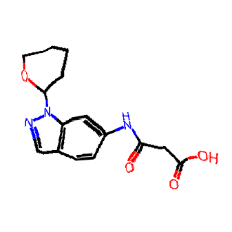 O=C(O)CC(=O)Nc1ccc2cnn(C3CCCCO3)c2c1